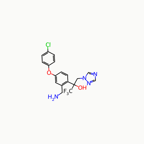 NCc1cc(Oc2ccc(Cl)cc2)ccc1C(O)(Cn1cncn1)C(F)(F)F